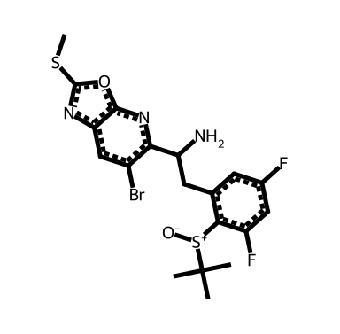 CSc1nc2cc(Br)c(C(N)Cc3cc(F)cc(F)c3[S+]([O-])C(C)(C)C)nc2o1